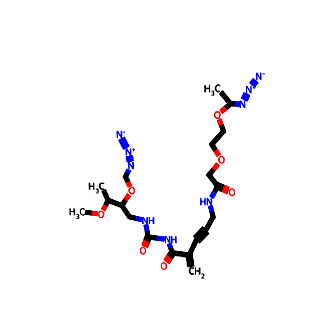 C=C(C#CCNC(=O)COCCOC(C)N=[N+]=[N-])C(=O)NC(=O)NCC(OCN=[N+]=[N-])C(C)OC